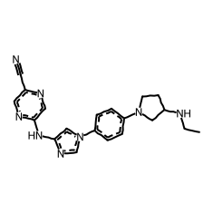 CCNC1CCN(c2ccc(-n3cnc(Nc4cnc(C#N)cn4)c3)cc2)C1